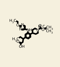 CCOc1ncc(Nc2cc(C(CC)CC(=O)O)ccc2C2CCN(C(=O)OC(C)(C)C)CC2)cn1